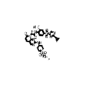 Cc1cc(S(=O)(=O)n2cnc(C3CC3)n2)ccc1NC(=O)Cn1c(=O)ccc2cnc(NC3CCN(S(C)(=O)=O)CC3)nc21